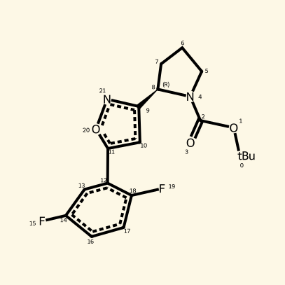 CC(C)(C)OC(=O)N1CCC[C@@H]1c1cc(-c2cc(F)ccc2F)on1